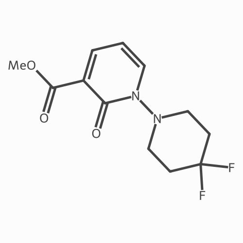 COC(=O)c1cccn(N2CCC(F)(F)CC2)c1=O